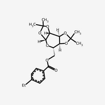 CCc1ccc(C(=O)OC[C@@H]2O[C@@H]3OC(C)(C)O[C@@H]3[C@H]3OC(C)(C)O[C@H]32)cc1